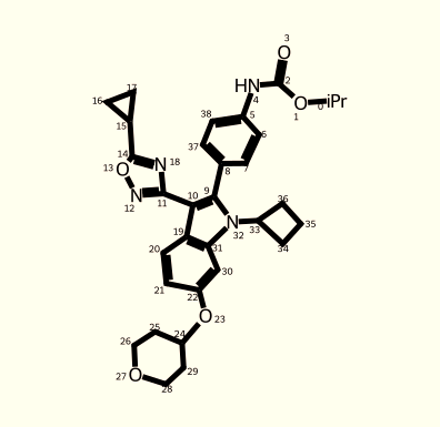 CC(C)OC(=O)Nc1ccc(-c2c(-c3noc(C4CC4)n3)c3ccc(OC4CCOCC4)cc3n2C2CCC2)cc1